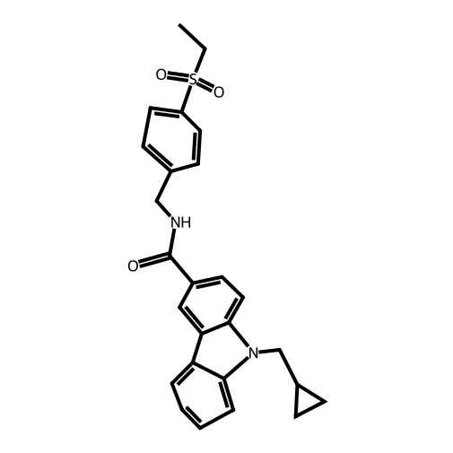 CCS(=O)(=O)c1ccc(CNC(=O)c2ccc3c(c2)c2ccccc2n3CC2CC2)cc1